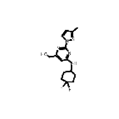 Cc1ccn(-c2nc(CO)cc(NC3CCC(F)(F)CC3)n2)n1